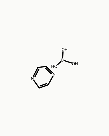 OB(O)O.c1cnccn1